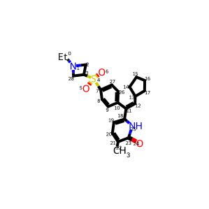 CCN1CC(S(=O)(=O)c2ccc(/C(=C\C3CCCC3)c3ccc(C)c(=O)[nH]3)cc2)C1